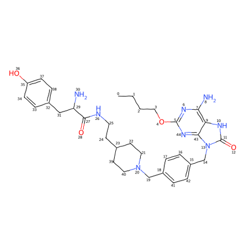 CCCCOc1nc(N)c2[nH]c(=O)n(Cc3ccc(CN4CCC(CCNC(=O)C(N)Cc5ccc(O)cc5)CC4)cc3)c2n1